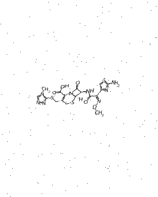 CO/N=C(\C(=O)N[C@@H]1C(=O)N2C(C(=O)O)=C(CSc3nncn3C)CS[C@H]12)c1csc(N)n1